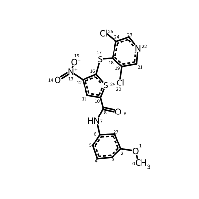 COc1cccc(NC(=O)c2cc([N+](=O)[O-])c(Sc3c(Cl)cncc3Cl)s2)c1